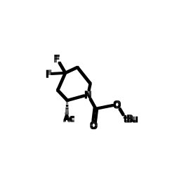 CC(=O)[C@@H]1CC(F)(F)CCN1C(=O)OC(C)(C)C